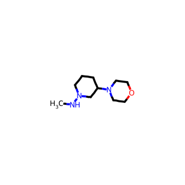 CNN1CCCC(N2CCOCC2)C1